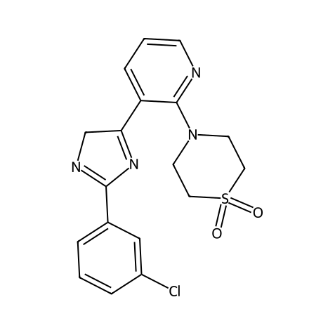 O=S1(=O)CCN(c2ncccc2C2=NC(c3cccc(Cl)c3)=NC2)CC1